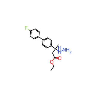 CCOC(=O)CC(C)(NN)c1ccc(-c2ccc(F)cc2)cc1